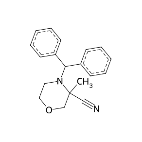 CC1(C#N)COCCN1C(c1ccccc1)c1ccccc1